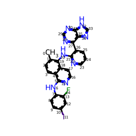 Cc1ccc2c(Nc3ccc(I)cc3F)nccc2c1Nc1ncccc1-c1ncnc2[nH]cnc12